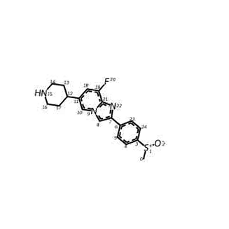 C[S+]([O-])c1ccc(-c2cn3cc(C4CCNCC4)cc(F)c3n2)cc1